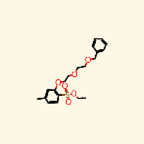 CCOS(=O)(=O)c1ccc(C)cc1OCCOCCOCc1ccccc1